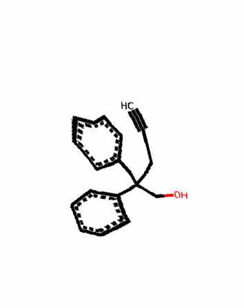 C#CCC(CO)(c1ccccc1)c1ccccc1